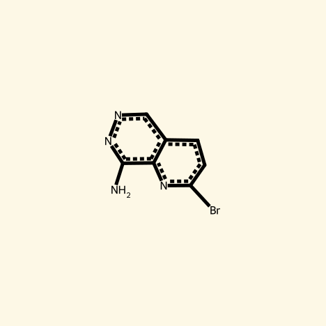 Nc1nncc2ccc(Br)nc12